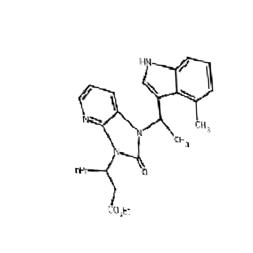 CCCC(CC(=O)OCC)n1c(=O)n(C(C)c2c[nH]c3cccc(C)c23)c2cccnc21